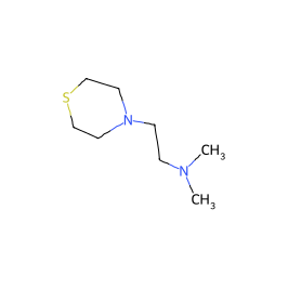 CN(C)CCN1CCSCC1